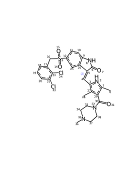 Cc1[nH]c(/C=C2\C(=O)Nc3ccc(S(=O)(=O)Cc4cccc(Cl)c4Cl)cc32)c(C)c1C(=O)N1CCN(C)CC1